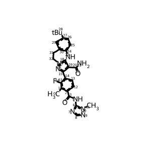 Cc1c(C(=O)Nc2ncnn2C)ccc(-c2nn3c(c2C(N)=O)Nc2ccc(C(C)(C)C)cc2CC3)c1F